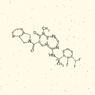 C[C@@H](Nc1ncnc2c1cc(C(=O)N1Cc3cccnc3C1)c(=O)n2C)c1cccc(C(F)F)c1F